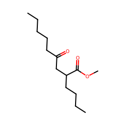 CCCCCC(=O)CC(CCCC)C(=O)OC